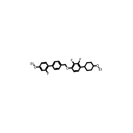 CCOc1ccc(-c2ccc(COc3ccc(C4CCC(OCC)CC4)c(F)c3F)cc2)c(F)c1